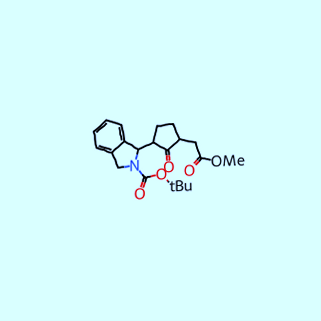 COC(=O)CC1CCC(C2c3ccccc3CN2C(=O)OC(C)(C)C)C1=O